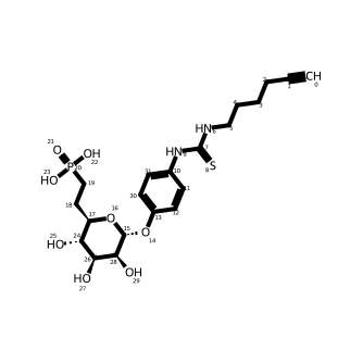 C#CCCCCNC(=S)Nc1ccc(O[C@H]2O[C@H](CCP(=O)(O)O)[C@@H](O)[C@H](O)[C@@H]2O)cc1